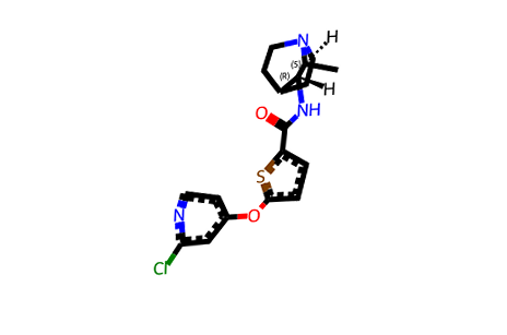 C[C@H]1[C@H](NC(=O)c2ccc(Oc3ccnc(Cl)c3)s2)C2CCN1CC2